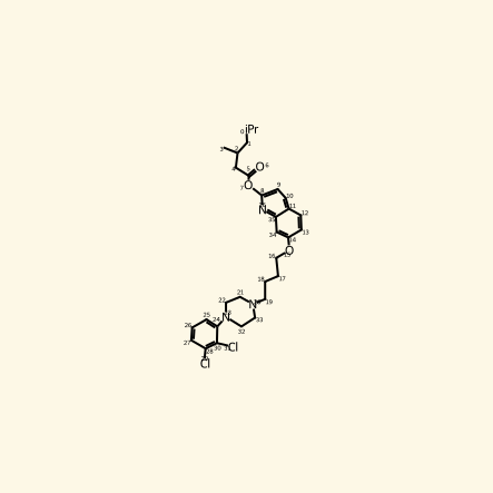 CC(C)CC(C)CC(=O)Oc1ccc2ccc(OCCCCN3CCN(c4cccc(Cl)c4Cl)CC3)cc2n1